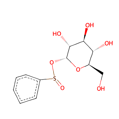 O=S(O[C@H]1O[C@H](CO)[C@@H](O)[C@H](O)[C@H]1O)c1ccccc1